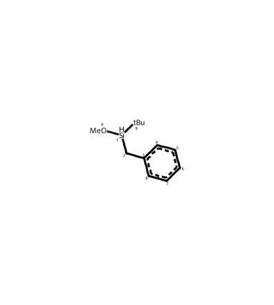 CO[SiH](Cc1ccccc1)C(C)(C)C